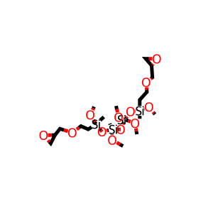 CO[Si](C)(CCOCC1CO1)O[Si](C)(OC)O[Si](OC)(OC)O[Si](C)(CCOCC1CO1)OC